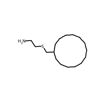 NCCSCC1CCCCCCCCCCCCC1